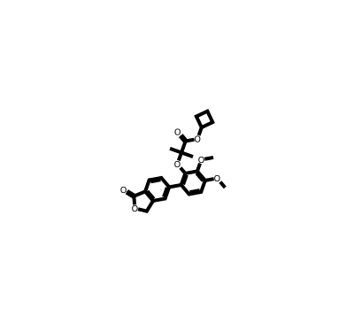 COc1ccc(-c2ccc3c(c2)COC3=O)c(OC(C)(C)C(=O)OC2CCC2)c1OC